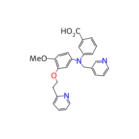 COc1ccc(N(Cc2cccnc2)c2cccc(C(=O)O)c2)cc1OCCc1ccccn1